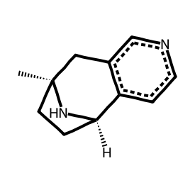 C[C@@]12CC[C@@H](N1)c1ccncc1C2